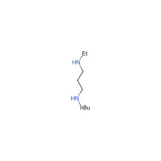 [CH2]CCCNCCCNCC